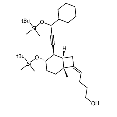 CC(C)(C)[Si](C)(C)OC(C#C[C@@H]1[C@@H](O[Si](C)(C)C(C)(C)C)CC[C@@]2(C)/C(=C\CCCO)C[C@@H]12)C1CCCCC1